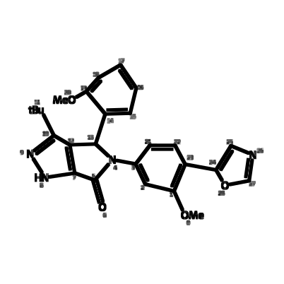 COc1cc(N2C(=O)c3[nH]nc(C(C)(C)C)c3C2c2ccccc2OC)ccc1-c1cnco1